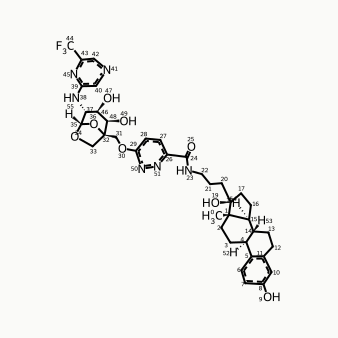 C[C@]12CC[C@@H]3c4ccc(O)cc4CC[C@H]3[C@@H]1CC[C@@]2(O)CCCNC(=O)c1ccc(OC[C@@]23CO[C@@H](O2)[C@H](Nc2cncc(C(F)(F)F)n2)[C@@H](O)[C@H]3O)nn1